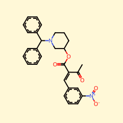 CC(=O)/C(=C\c1cccc([N+](=O)[O-])c1)C(=O)OC1CCCN(C(c2ccccc2)c2ccccc2)C1